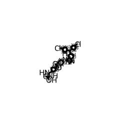 N=C(NC(=O)O)c1ccc(S(=O)(=O)N2CCC(Nc3ncnc4ccc(C(c5ccc(Cl)cc5)c5ccc(Cl)cc5)cc34)CC2)cc1